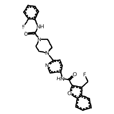 O=C(Nc1ccc(N2CCN(C(=O)Nc3ccccc3F)CC2)nc1)c1oc2ccccc2c1CF